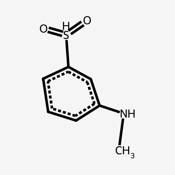 CNc1cccc([SH](=O)=O)c1